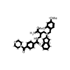 COc1ccc(CN(CC(CNC(=O)c2ccc(C(=O)N3CCOCC3)cc2)C(N)=O)C2Cc3ccccc3C2)c(OC)c1